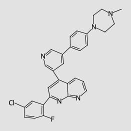 CN1CCN(c2ccc(-c3cncc(-c4cc(-c5cc(Cl)ccc5F)nc5ncccc45)c3)cc2)CC1